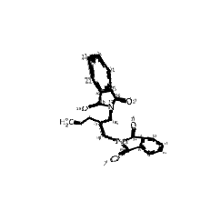 C=CCC(CN1C(=O)c2ccccc2C1=O)CN1C(=O)c2ccccc2C1=O